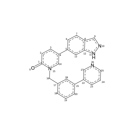 O=c1ccc(-c2ccc3cn[nH]c3c2)cn1Cc1cccc(-c2cccnc2)c1